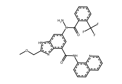 COCc1nc2c(C(=O)Nc3cccc4cccnc34)cc(N(N)C(=O)c3ccccc3C(F)(F)F)cc2[nH]1